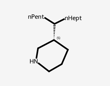 CCCCCCCC(CCCCC)[C@@H]1CCCNC1